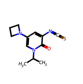 CC(C)n1cc(N2CCC2)cc(N=C=S)c1=O